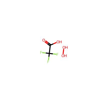 O=C(O)C(F)(F)F.OO